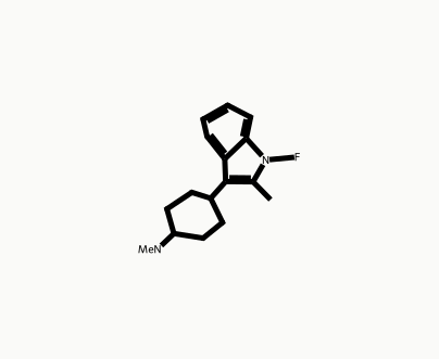 CNC1CCC(c2c(C)n(F)c3ccccc23)CC1